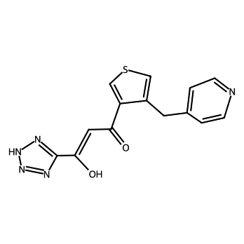 O=C(C=C(O)c1nn[nH]n1)c1cscc1Cc1ccncc1